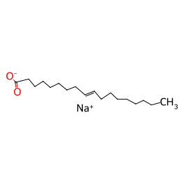 CCCCCCCCC=CCCCCCCCC(=O)[O-].[Na+]